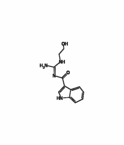 NC(=NC(=O)c1c[nH]c2ccccc12)NCCO